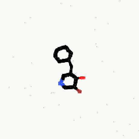 Oc1c(Br)cncc1Cc1ccccc1